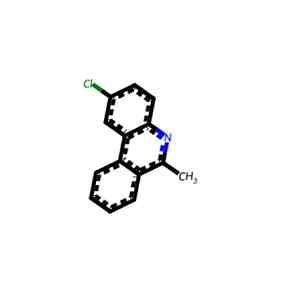 Cc1nc2ccc(Cl)cc2c2ccccc12